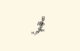 CN1CC(NC(=O)Cc2ccc(NC(=O)NCc3ccc(Cl)cc3)cc2)C1